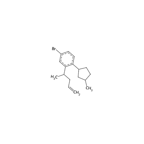 C=CCC(C)c1cc(Br)ccc1C1CCC(C)C1